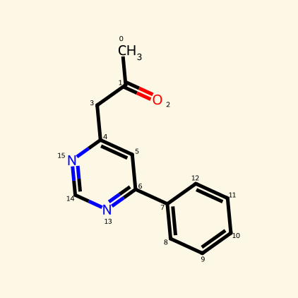 CC(=O)Cc1cc(-c2ccccc2)ncn1